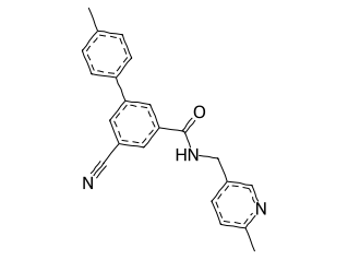 Cc1ccc(-c2cc(C#N)cc(C(=O)NCc3ccc(C)nc3)c2)cc1